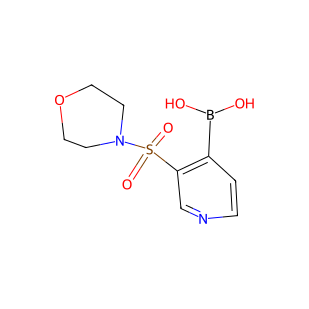 O=S(=O)(c1cnccc1B(O)O)N1CCOCC1